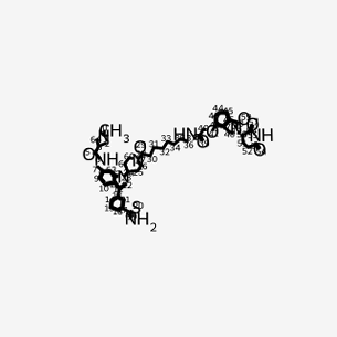 CN1CC(C(=O)NCc2ccc3c(-c4cccc(C(N)=S)c4)cn(C4CCN(C(=O)CCCCCCCNC(=O)COc5cccc6c5CN(C5CCC(=O)NC5=O)C6=O)CC4)c3c2)C1